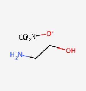 NCCO.O=[N+]([O-])[O-].[Cu]